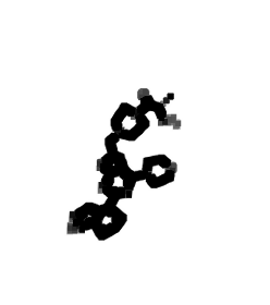 C[C@H](N)C(=O)N1CCN(Cc2cc3c(N4CCOCC4)nc(-c4cccc5[nH]ncc45)nc3s2)CC1